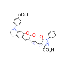 CCCCCCCCc1ccc(N2CCCc3cc4cc(/C=C/C=C5\C(=O)N(c6ccccc6)N=C5C(=O)O)c(=O)oc4cc32)cc1